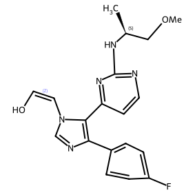 COC[C@H](C)Nc1nccc(-c2c(-c3ccc(F)cc3)ncn2/C=C\O)n1